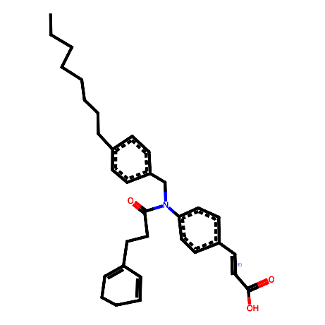 CCCCCCCCc1ccc(CN(C(=O)CCC2=CCCC=C2)c2ccc(/C=C/C(=O)O)cc2)cc1